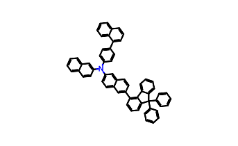 c1ccc(C2(c3ccccc3)c3ccccc3-c3c(-c4ccc5cc(N(c6ccc(-c7cccc8ccccc78)cc6)c6ccc7ccccc7c6)ccc5c4)cccc32)cc1